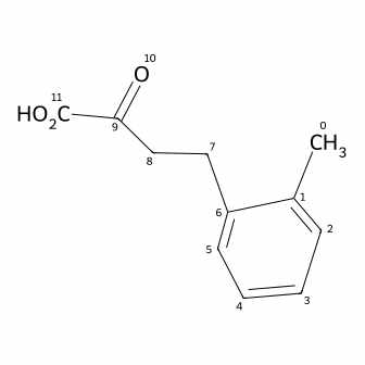 Cc1ccccc1CCC(=O)C(=O)O